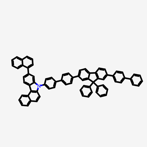 c1ccc(-c2ccc(-c3ccc4c(c3)C(c3ccccc3)(c3ccccc3)c3cc(-c5ccc(-c6ccc(-n7c8cc(-c9cccc%10ccccc9%10)ccc8c8c9ccccc9ccc87)cc6)cc5)ccc3-4)cc2)cc1